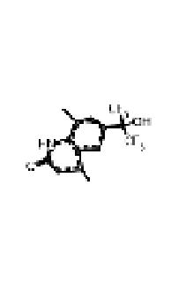 Cc1cc(=O)[nH]c2c(C)cc(C(O)(C(F)(F)F)C(F)(F)F)cc12